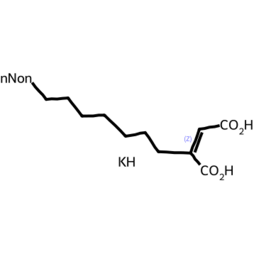 CCCCCCCCCCCCCCCC/C(=C/C(=O)O)C(=O)O.[KH]